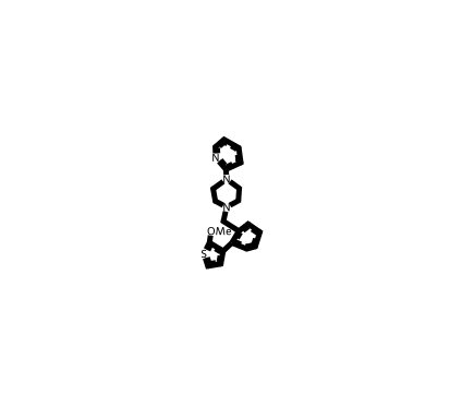 COc1sccc1-c1ccccc1CN1CCN(c2ccccn2)CC1